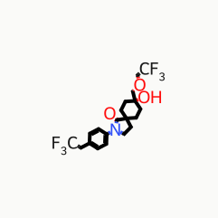 O=C1N(c2ccc(CC(F)(F)F)cc2)CCC12CCC(O)(COCC(F)(F)F)CC2